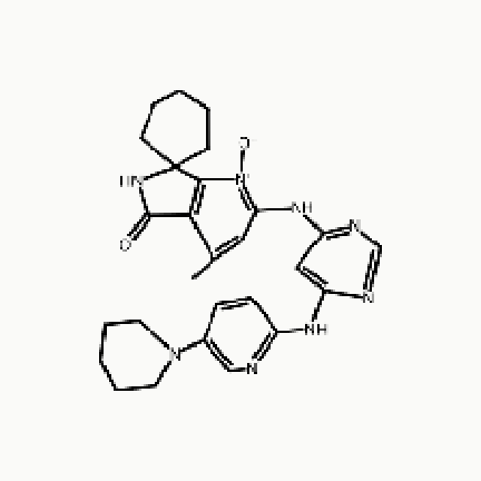 Cc1cc(Nc2cc(Nc3ccc(N4CCCCC4)cn3)ncn2)[n+]([O-])c2c1C(=O)NC21CCCCC1